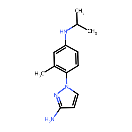 Cc1cc(NC(C)C)ccc1-n1ccc(N)n1